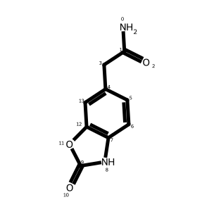 NC(=O)Cc1ccc2[nH]c(=O)oc2c1